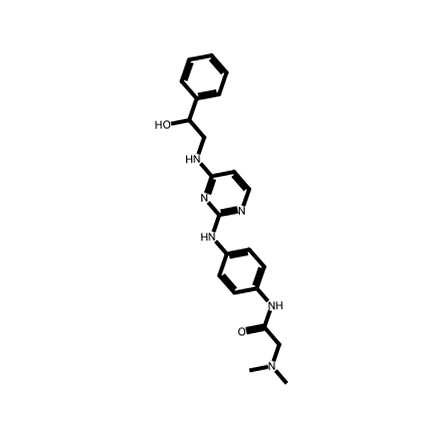 CN(C)CC(=O)Nc1ccc(Nc2nccc(NCC(O)c3ccccc3)n2)cc1